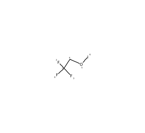 FC(F)(F)COI